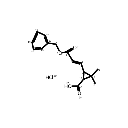 CC1(C)C(C=CC(=O)OCc2ccccc2)C1C(=O)O.Cl